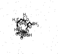 B[C@H]1C[C@@H](OC(=O)C(C)(C)CC(C)(C)CC#C)C(COP(=O)(O)OP(=O)(O)OP(=O)(O)O)O1